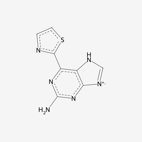 Nc1nc2c(c(-c3nccs3)n1)NC=[N+]2